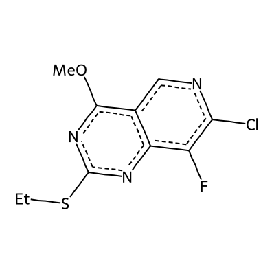 CCSc1nc(OC)c2cnc(Cl)c(F)c2n1